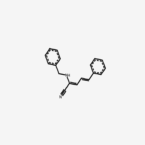 N#CC(=CC=Cc1ccccc1)NCc1ccccc1